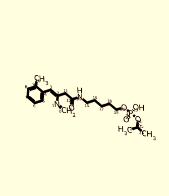 C=N/C(=C\c1ccccc1C)CC(=O)NCCCCCOP(=O)(O)OC(C)C